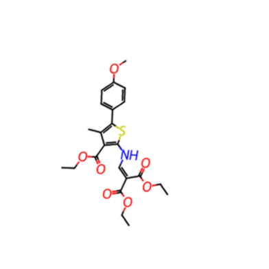 CCOC(=O)C(=CNc1sc(-c2ccc(OC)cc2)c(C)c1C(=O)OCC)C(=O)OCC